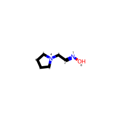 ON=CCN1CCCC1